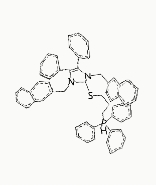 c1ccc(C2=C(c3ccccc3)N(Cc3ccc4ccccc4c3)C(SCCC[PH](c3ccccc3)(c3ccccc3)c3ccccc3)N2Cc2ccc3ccccc3c2)cc1